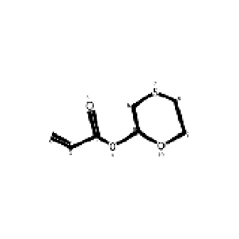 C=CC(=O)OC1CSCCO1